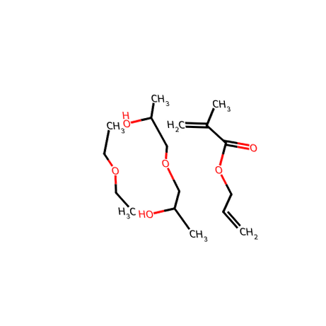 C=CCOC(=O)C(=C)C.CC(O)COCC(C)O.CCOCC